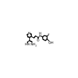 N=C/C(=C\N)c1ccncc1/C=C/C(=O)Nc1ccc(CO)c(F)c1